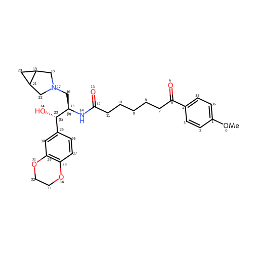 COc1ccc(C(=O)CCCCCC(=O)N[C@H](CN2CC3CC3C2)[C@@H](O)c2ccc3c(c2)OCCO3)cc1